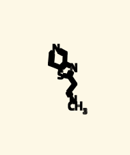 C/N=C/Cc1nc2cnccc2s1